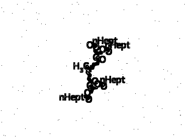 CCCCCCCC(=O)OCC(COC(=O)CCCCCCC)OC(=O)CCCN(C)CCCC(=O)OC(COC(=O)CCCCCCC)COC(=O)CCCCCCC